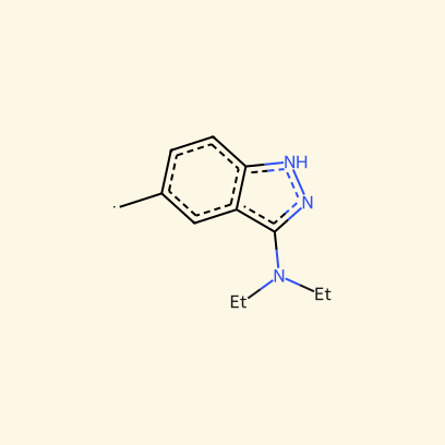 [CH2]c1ccc2[nH]nc(N(CC)CC)c2c1